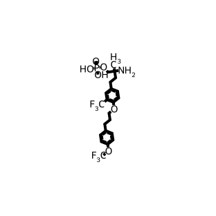 CC(N)(CCc1ccc(OCCCc2ccc(OC(F)(F)F)cc2)c(C(F)(F)F)c1)COP(=O)(O)O